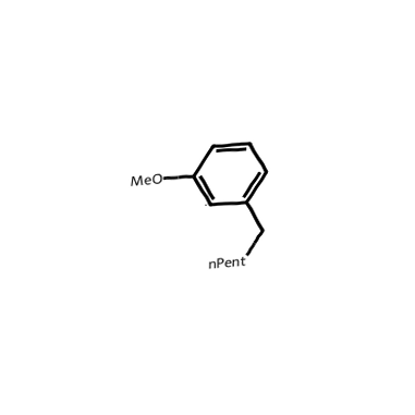 CCCCCCc1[c]c(OC)ccc1